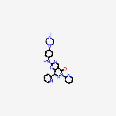 O=c1c2cnc(Nc3ccc(N4CCNCC4)cc3)nc2c(-c2ccccn2)nn1-c1ccccn1